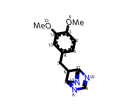 COc1ccc(CC2C3=NC=NC2=N3)cc1OC